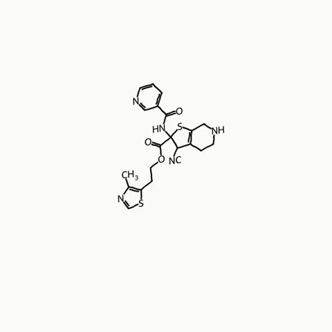 Cc1ncsc1CCOC(=O)C1(NC(=O)c2cccnc2)SC2=C(CCNC2)C1C#N